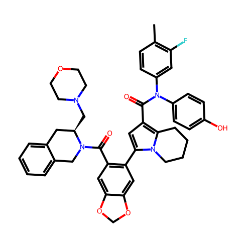 Cc1ccc(N(C(=O)c2cc(-c3cc4c(cc3C(=O)N3Cc5ccccc5C[C@H]3CN3CCOCC3)OCO4)n3c2CCCC3)c2ccc(O)cc2)cc1F